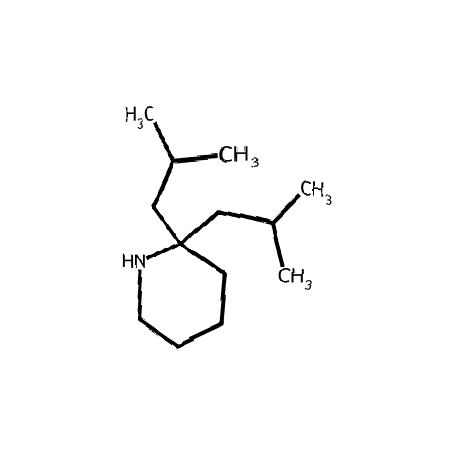 CC(C)CC1(CC(C)C)CCCCN1